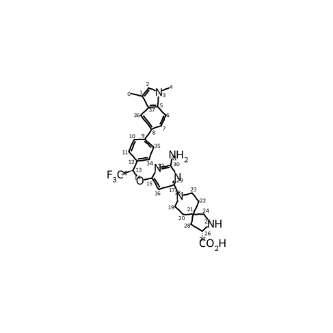 Cc1cn(C)c2ccc(-c3ccc([C@@H](Oc4cc(N5CCC6(CC5)CN[C@H](C(=O)O)C6)nc(N)n4)C(F)(F)F)cc3)cc12